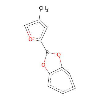 Cc1coc(B2Oc3ccccc3O2)c1